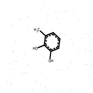 Cc1c[c]cc(O)c1O